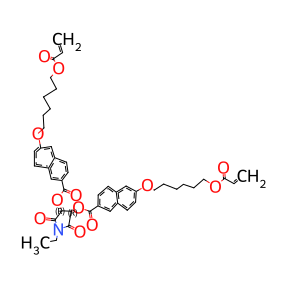 C=CC(=O)OCCCCCCOc1ccc2cc(C(=O)O[C@H]3C(=O)N(CC)C(=O)[C@@H]3OC(=O)c3ccc4cc(OCCCCCCOC(=O)C=C)ccc4c3)ccc2c1